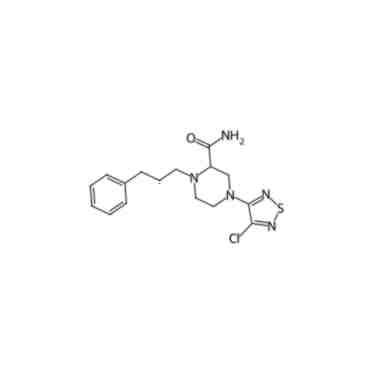 NC(=O)C1CN(c2nsnc2Cl)CCN1C[CH]Cc1ccccc1